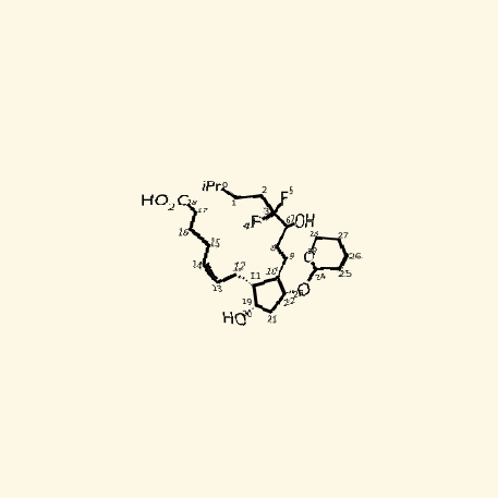 CC(C)CCC(F)(F)C(O)CC[C@@H]1[C@@H](C/C=C\CCCC(=O)O)[C@@H](O)C[C@H]1OC1CCCCO1